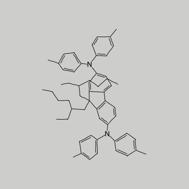 CCCCC(CC)CC1(CC(CC)CCCC)c2cc(N(c3ccc(C)cc3)c3ccc(C)cc3)ccc2-c2ccc(N(c3ccc(C)cc3)c3ccc(C)cc3)cc21